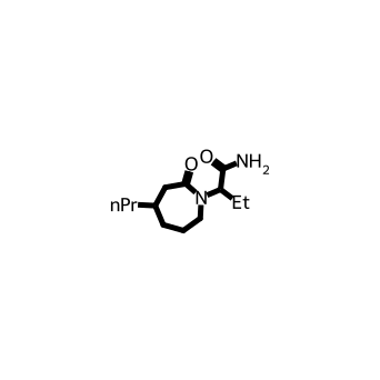 CCCC1CCCN(C(CC)C(N)=O)C(=O)C1